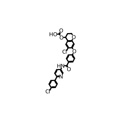 O=C(O)OC1CCOc2cc(Oc3ccc(C(=O)Nc4ccc(-c5ccc(Cl)cc5)nc4)cc3)c(Cl)cc21